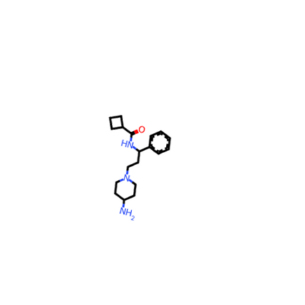 NC1CCN(CCC(NC(=O)C2CCC2)c2ccccc2)CC1